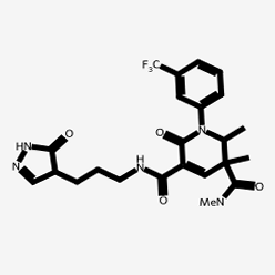 CNC(=O)C1(C)C=C(C(=O)NCCCC2C=NNC2=O)C(=O)N(c2cccc(C(F)(F)F)c2)C1C